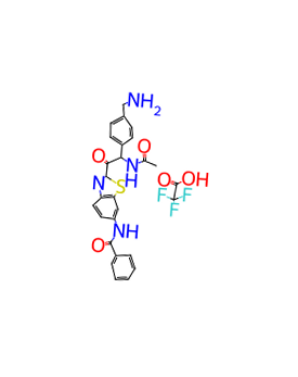 CC(=O)NC(C(=O)c1nc2ccc(NC(=O)c3ccccc3)cc2s1)c1ccc(CN)cc1.O=C(O)C(F)(F)F